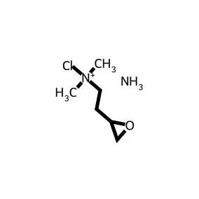 C[N+](C)(Cl)CCC1CO1.N